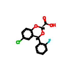 O=C(O)[C@H]1Oc2ccc(Cl)cc2[C@H](c2ccccc2F)O1